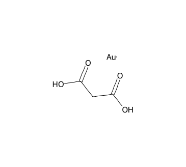 O=C(O)CC(=O)O.[Au]